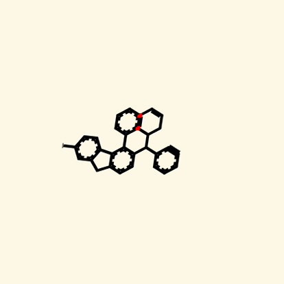 Ic1ccc2c(c1)Cc1ccc(C(c3c#cccc3)C3C=CC=CC3)c(-c3ccccc3)c1-2